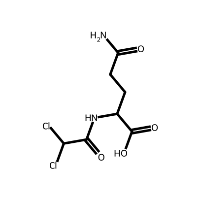 NC(=O)CCC(NC(=O)C(Cl)Cl)C(=O)O